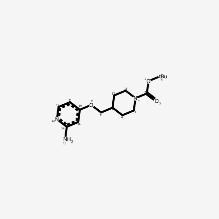 CC(C)(C)OC(=O)N1CCC(COc2ccnc(N)c2)CC1